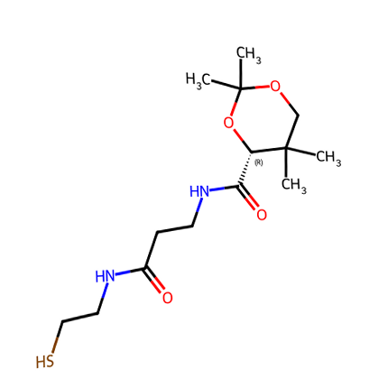 CC1(C)OCC(C)(C)[C@H](C(=O)NCCC(=O)NCCS)O1